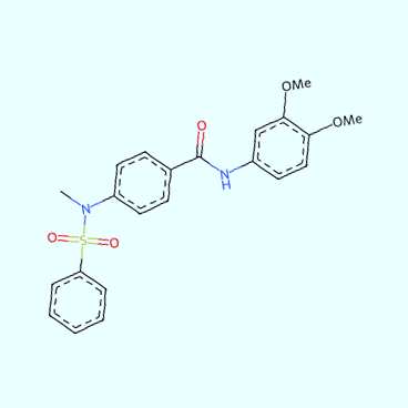 COc1ccc(NC(=O)c2ccc(N(C)S(=O)(=O)c3ccccc3)cc2)cc1OC